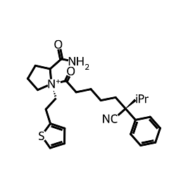 CC(C)[C@@](C#N)(CCCCC(=O)[N@@+]1(CCc2cccs2)CCCC1C(N)=O)c1ccccc1